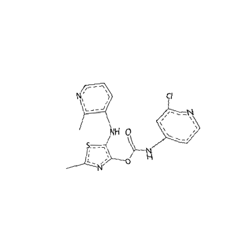 Cc1nc(OC(=O)Nc2ccnc(Cl)c2)c(Nc2cccnc2C)s1